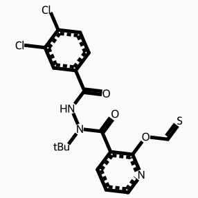 CC(C)(C)N(NC(=O)c1ccc(Cl)c(Cl)c1)C(=O)c1cccnc1OC=S